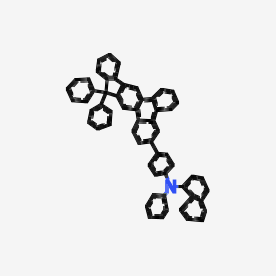 c1ccc(N(c2ccc(-c3ccc4c(c3)c3ccccc3c3cc5c(cc43)C(c3ccccc3)(c3ccccc3)c3ccccc3-5)cc2)c2cccc3ccccc23)cc1